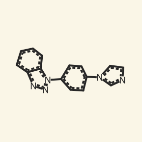 c1ccc2c(c1)nnn2-c1ccc(-n2ccnc2)cc1